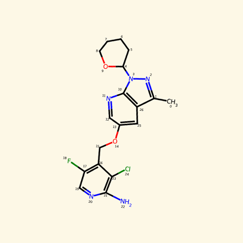 Cc1nn(C2CCCCO2)c2ncc(OCc3c(F)cnc(N)c3Cl)cc12